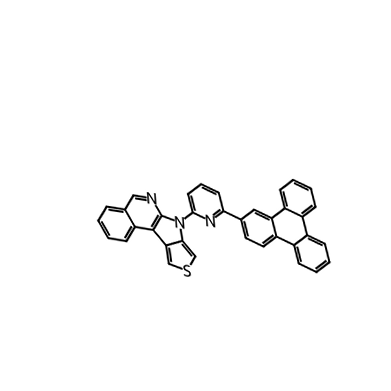 c1cc(-c2ccc3c4ccccc4c4ccccc4c3c2)nc(-n2c3cscc3c3c4ccccc4cnc32)c1